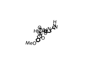 COc1ccc2c(c1)CCN(C[C@@]1(c3cc4nc(-c5cn[nH]c5)ccc4o3)NC(=O)NC1=O)C2=O